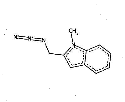 Cn1c(CN=[N+]=[N-])cc2ccccc21